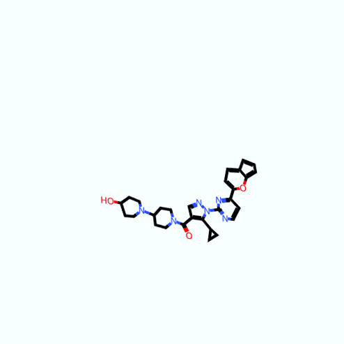 O=C(c1cnn(-c2nccc(-c3ccc4cccc-4o3)n2)c1C1CC1)N1CCC(N2CCC(O)CC2)CC1